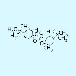 CC1(OC(=O)OC2(C)CCC(C(C)(C)C)CC2)CCC(C(C)(C)C)CC1